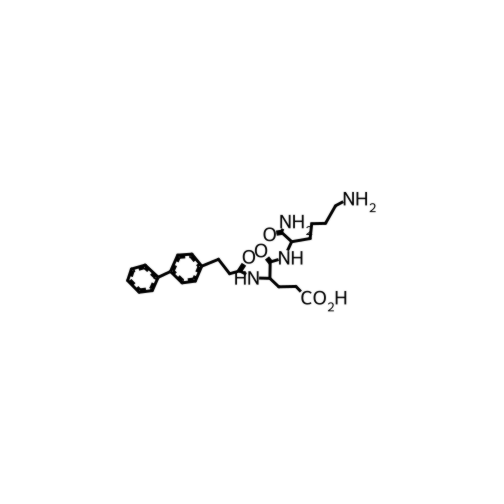 NCCCCC(NC(=O)C(CCC(=O)O)NC(=O)CCc1ccc(-c2ccccc2)cc1)C(N)=O